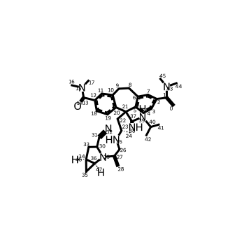 C=C(c1ccc2c(c1)CCc1cc(C(=O)N(C)C)ccc1C2(C[C@H](C)NCC(=C)N1C(C#N)C[C@@H]2C[C@@H]21)C(=N)NC(C)C)N(C)C